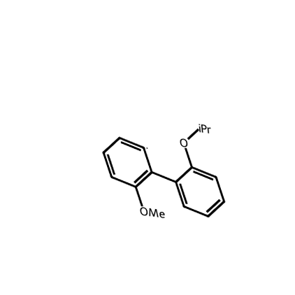 COc1ccc[c]c1-c1ccccc1OC(C)C